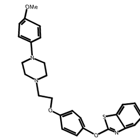 COc1ccc(N2CCN(CCOc3ccc(Oc4nc5ccccc5s4)cc3)CC2)cc1